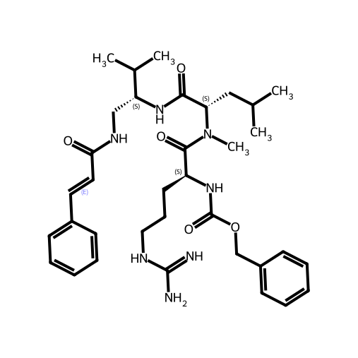 CC(C)C[C@@H](C(=O)N[C@H](CNC(=O)/C=C/c1ccccc1)C(C)C)N(C)C(=O)[C@H](CCCNC(=N)N)NC(=O)OCc1ccccc1